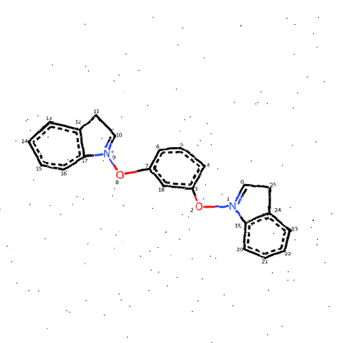 C1=[N+](Oc2cccc(O[N+]3=CCc4ccccc43)c2)c2ccccc2C1